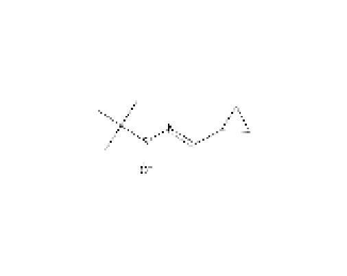 CC(C)(C)[S+]([O-])N=CC1CC1